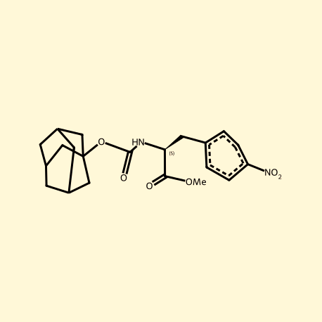 COC(=O)[C@H](Cc1ccc([N+](=O)[O-])cc1)NC(=O)OC12CC3CC(CC(C3)C1)C2